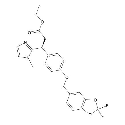 CCOC(=O)C[C@@H](c1ccc(OCc2ccc3c(c2)OC(F)(F)O3)cc1)c1nccn1C